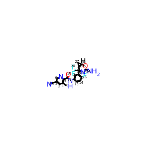 Cc1cc(C#N)cnc1C(=O)Nc1ccc(F)c([C@@]2(C(F)F)N=C(N)O[C@@H]3CC32)c1